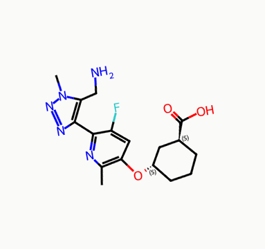 Cc1nc(-c2nnn(C)c2CN)c(F)cc1O[C@H]1CCC[C@H](C(=O)O)C1